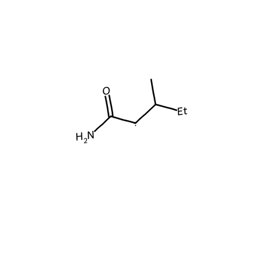 CCC(C)[CH]C(N)=O